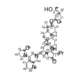 CC(C)C1=C2[C@H]3CCC4[C@@]5(C)CC[C@H](OC(=O)CC(C)(C)C(=O)O)C(C)(C)C5CC[C@@]4(C)[C@]3(C)CC[C@@]2(CCN(CCN2CCCC2=O)Cc2ccccn2)CC1=O